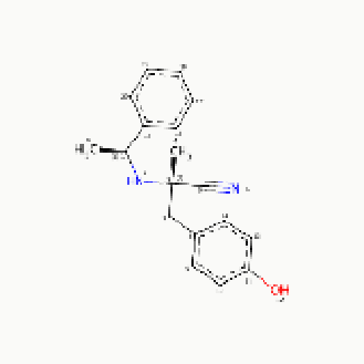 C[C@H](N[C@](C)(C#N)Cc1ccc(O)cc1)c1ccccc1